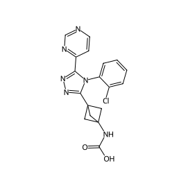 O=C(O)NC12CC(c3nnc(-c4ccncn4)n3-c3ccccc3Cl)(C1)C2